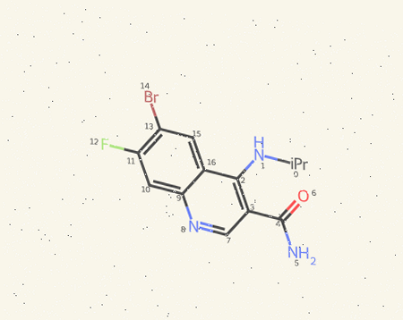 CC(C)Nc1c(C(N)=O)cnc2cc(F)c(Br)cc12